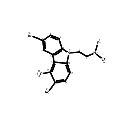 CCN(CC)CCn1c2ccc(C(C)=O)cc2c2c(C)c(C(C)=O)ccc21